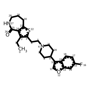 CCc1c(CCN2CCC(c3coc4cc(F)ccc34)CC2)sc2c1C(=O)NCCC2